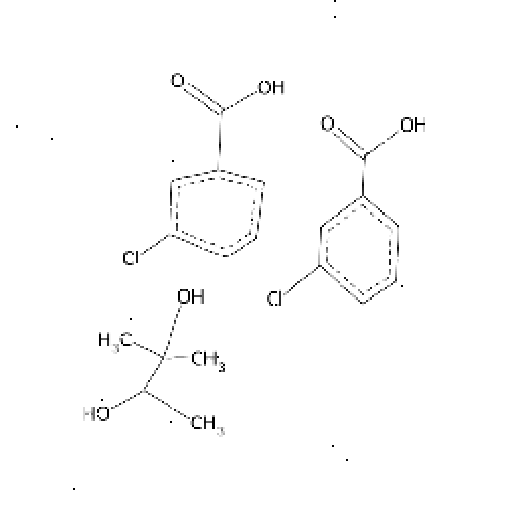 CC(O)C(C)(C)O.O=C(O)c1cccc(Cl)c1.O=C(O)c1cccc(Cl)c1